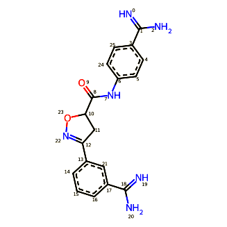 N=C(N)c1ccc(NC(=O)C2CC(c3cccc(C(=N)N)c3)=NO2)cc1